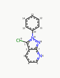 Clc1c2cccnc2nn1-c1ccccc1